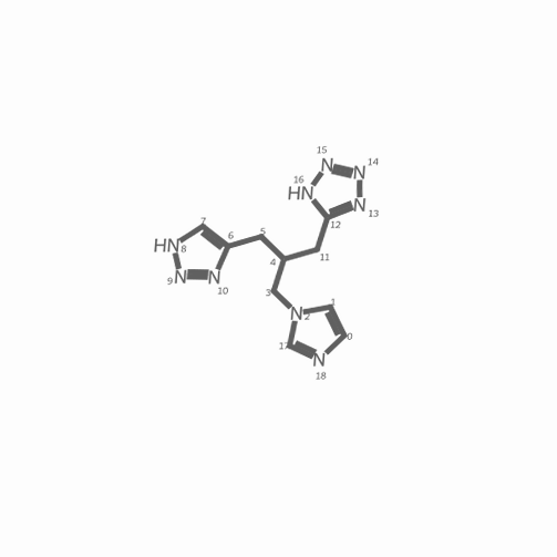 c1cn(CC(Cc2c[nH]nn2)Cc2nnn[nH]2)cn1